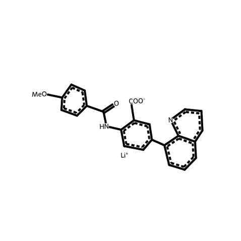 COc1ccc(C(=O)Nc2ccc(-c3cccc4cccnc34)cc2C(=O)[O-])cc1.[Li+]